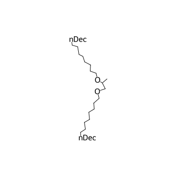 CCCCCCCCCCCCCCCCCCOCC(C)OCCCCCCCCCCCCCCCCCC